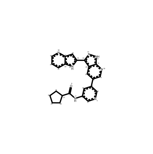 O=C(Nc1cncc(-c2cnc3[nH]nc(-c4cc5ncccc5[nH]4)c3c2)c1)C1CCCC1